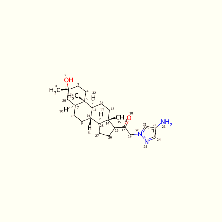 C[C@@]1(O)CC[C@@]2(C)[C@@H](CC[C@@H]3[C@@H]2CC[C@]2(C)[C@@H](C(=O)Cn4cc(N)cn4)CC[C@@H]32)C1